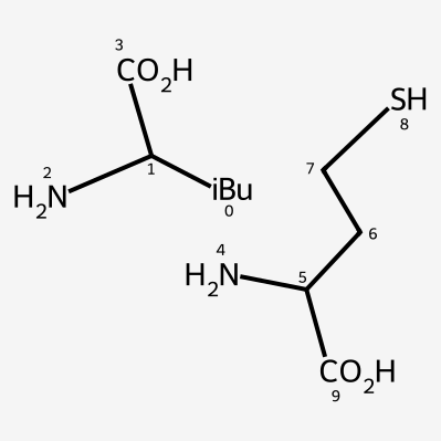 CCC(C)C(N)C(=O)O.NC(CCS)C(=O)O